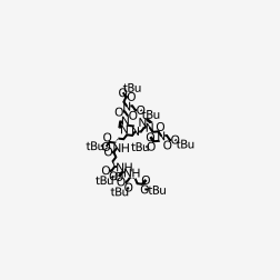 CC(C)(C)OC(=O)CC[C@@H](NC(=O)N[C@H](CCC(=O)N[C@@H](CCCCN(Cc1nccn1CC(=O)N(CC(=O)OC(C)(C)C)CC(=O)OC(C)(C)C)Cc1nccn1CC(=O)N(CC(=O)OC(C)(C)C)CC(=O)OC(C)(C)C)C(=O)OC(C)(C)C)C(=O)OC(C)(C)C)C(=O)OC(C)(C)C